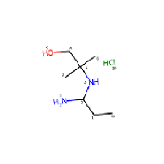 CCC(N)NC(C)(C)CO.Cl